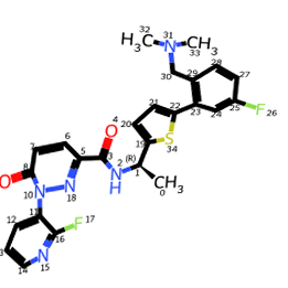 C[C@@H](NC(=O)c1ccc(=O)n(-c2cccnc2F)n1)c1ccc(-c2cc(F)ccc2CN(C)C)s1